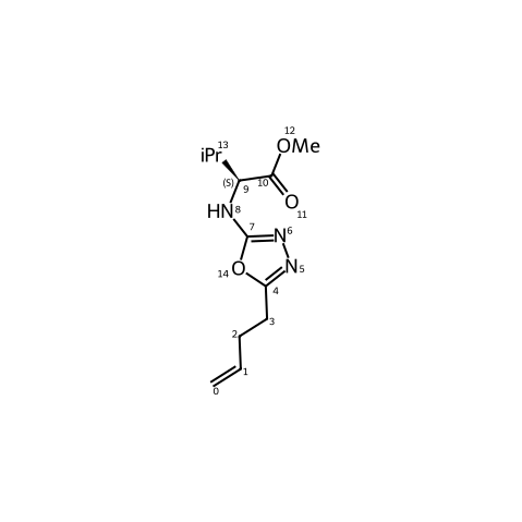 C=CCCc1nnc(N[C@H](C(=O)OC)C(C)C)o1